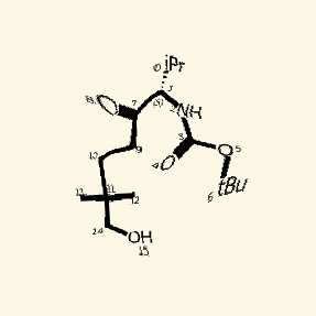 CC(C)[C@H](NC(=O)OC(C)(C)C)C(=O)CCC(C)(C)CO